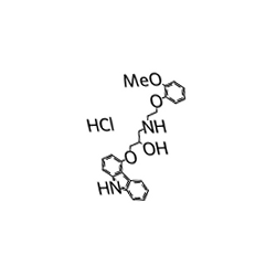 COc1ccccc1OCCNCC(O)COc1cccc2[nH]c3ccccc3c12.Cl